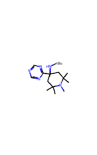 CCCCNC1(c2ncncn2)CC(C)(C)N(C)C(C)(C)C1